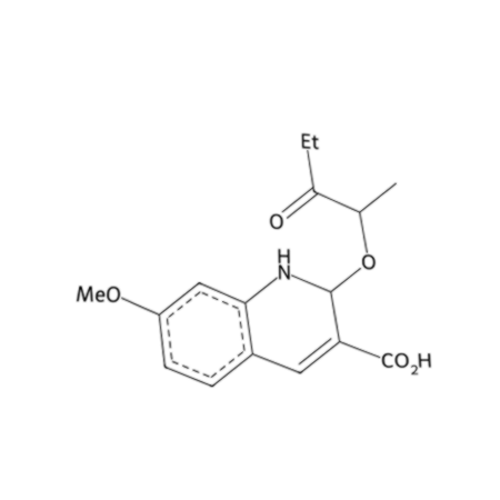 CCC(=O)C(C)OC1Nc2cc(OC)ccc2C=C1C(=O)O